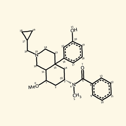 COC1C[C@@H](N(C)C(=O)c2ccccc2)CC2(c3cccc(O)c3)CCN(CC3CC3)CC12